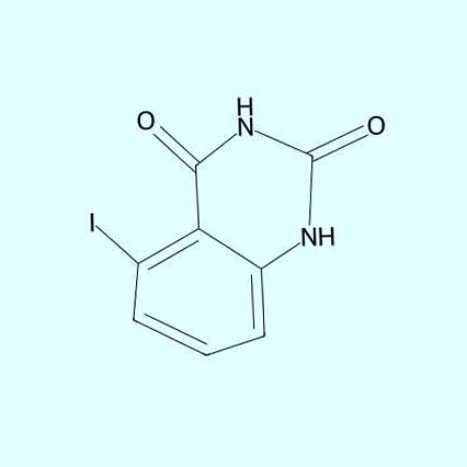 O=c1[nH]c(=O)c2c(I)cccc2[nH]1